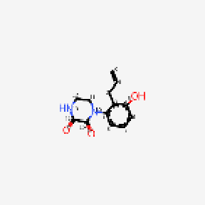 C=CCc1c(O)cccc1N1CCNC(=O)C1=O